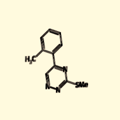 CSc1nncc(-c2ccccc2C)n1